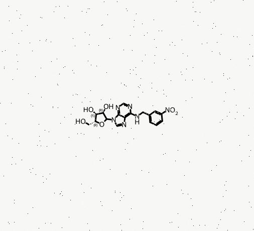 O=[N+]([O-])c1cccc(CNc2ncnc3c2ncn3C2O[C@H](CO)[C@@H](O)[C@H]2O)c1